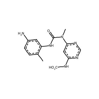 Cc1ccc(N)cc1NC(=O)N(C)c1cc(NC(=O)O)ncn1